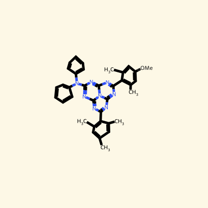 COc1cc(C)c(C2=NC3=NC(N(c4ccccc4)c4ccccc4)=NC4=NC(c5c(C)cc(C)cc5C)=NC(=N2)N43)c(C)c1